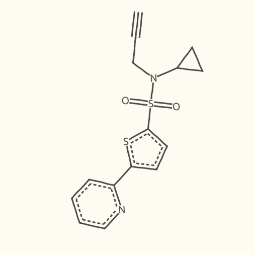 C#CCN(C1CC1)S(=O)(=O)c1ccc(-c2ccccn2)s1